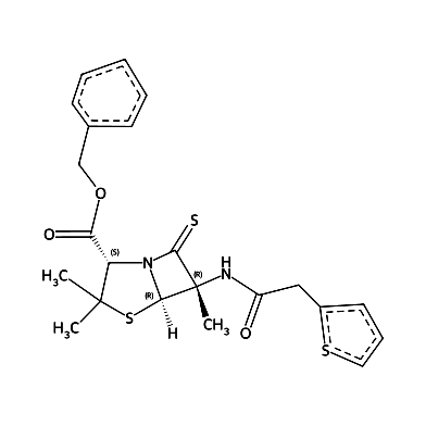 CC1(C)S[C@H]2N(C(=S)[C@]2(C)NC(=O)Cc2cccs2)[C@H]1C(=O)OCc1ccccc1